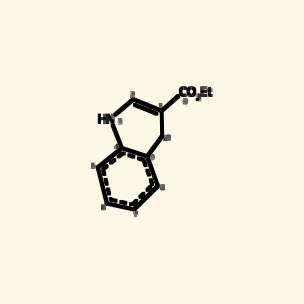 CCOC(=O)C1=CNc2ccccc2C1